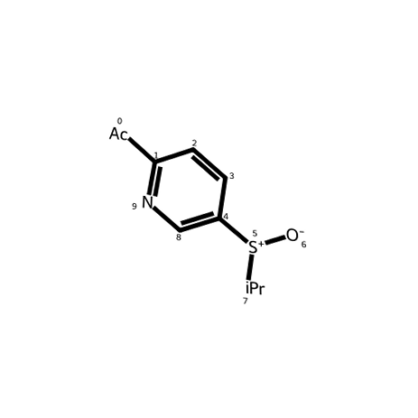 CC(=O)c1ccc([S+]([O-])C(C)C)cn1